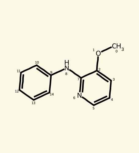 COc1cccnc1Nc1ccccc1